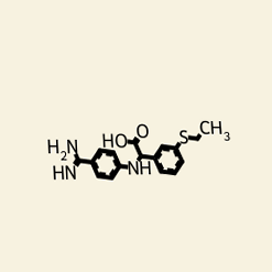 CCSc1cccc(C(Nc2ccc(C(=N)N)cc2)C(=O)O)c1